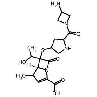 CC1C=C(C(=O)O)N2C(=O)C(SC3CNC(C(=O)N4CC(N)C4)C3)(C(C)O)[C@H]12